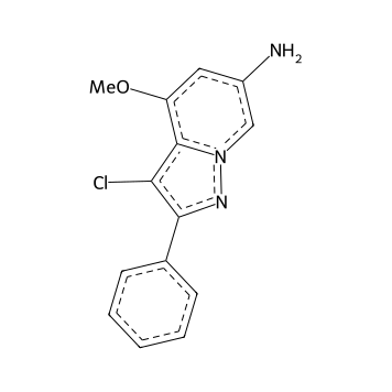 COc1cc(N)cn2nc(-c3ccccc3)c(Cl)c12